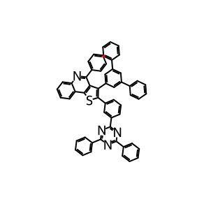 c1ccc(-c2cc(-c3ccccc3)cc(-c3c(-c4cccc(-c5nc(-c6ccccc6)nc(-c6ccccc6)n5)c4)sc4c3c(-c3ccccc3)nc3ccccc34)c2)cc1